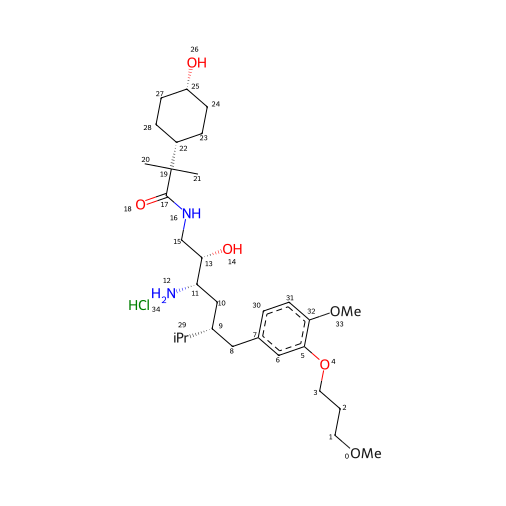 COCCCOc1cc(C[C@@H](C[C@H](N)[C@@H](O)CNC(=O)C(C)(C)[C@H]2CC[C@@H](O)CC2)C(C)C)ccc1OC.Cl